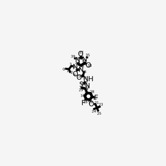 CC(C)Cn1c(=O)n(CC(=O)Nc2nc(-c3cc(F)c(OCC(C)(C)C)c(F)c3)cs2)c2c(=O)n(C)c(=O)n(C)c21